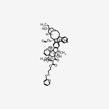 CC[C@]1(O)C[C@H]2CN(CCc3c([nH]c4ccccc34)[C@@](COC=O)(c3cc4c(cc3OC)N(C)[C@H]3[C@@](O)(C(=O)N(N)C(=O)OCCSSc5ccccn5)[C@H](O)[C@]5(CC)C=CCN6CC[C@]43[C@@H]65)C2)C1